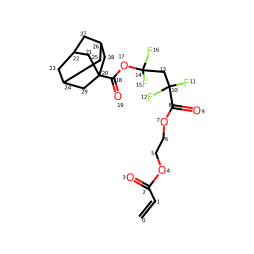 C=CC(=O)OCCOC(=O)C(F)(F)CC(F)(F)OC(=O)C12CC3CC(CC(C3)C1)C2